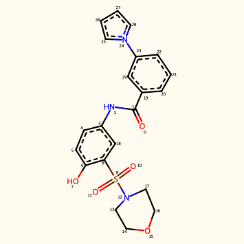 O=C(Nc1ccc(O)c(S(=O)(=O)N2CCOCC2)c1)c1cccc(-n2cccc2)c1